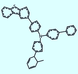 CC1C=CC=CC1c1ccc(N(c2ccc(-c3ccccc3)cc2)c2ccc(-c3ccc4sc5ccccc5c4c3)cc2)cc1